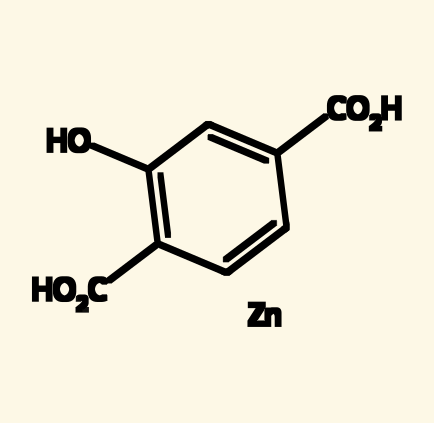 O=C(O)c1ccc(C(=O)O)c(O)c1.[Zn]